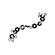 N#Cc1ccc(N2CC[C@@H](c3ccc(OCCCN4CCN(c5ccc6c(c5)CN(C5CCC(=O)NC5=O)C6=O)CC4)cc3)C2)cc1C(F)(F)F